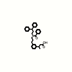 CC(CC(=O)O)c1cccc(CCCN(CCC(c2ccccc2)c2ccccc2)C(=O)c2ccccc2)c1